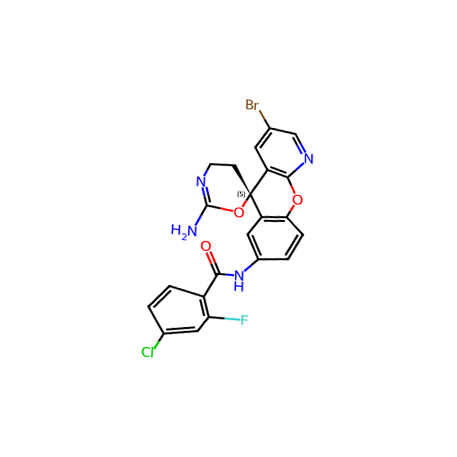 NC1=NCC[C@]2(O1)c1cc(NC(=O)c3ccc(Cl)cc3F)ccc1Oc1ncc(Br)cc12